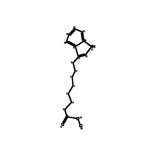 O=C(CCCCCCCc1c[nH]c2ccccc12)OCl